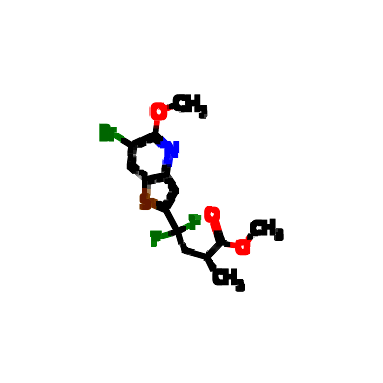 COC(=O)[C@@H](C)CC(F)(F)c1cc2nc(OC)c(Br)cc2s1